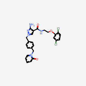 Nc1nn(Cc2ccc(Cn3ccccc3=O)cc2)cc1C(=O)NCCOc1cc(Cl)ccc1Cl